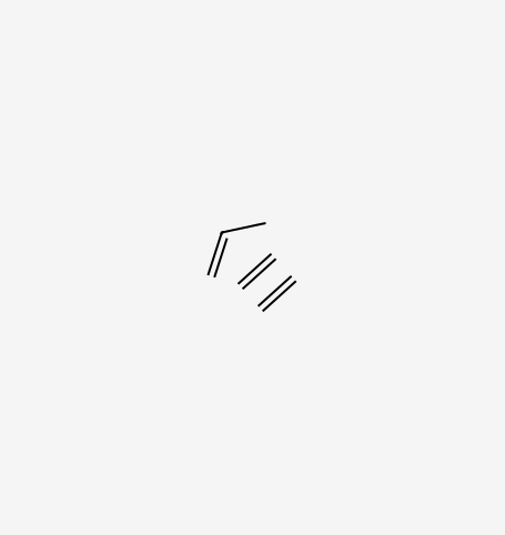 C=C.C=C.C=CC